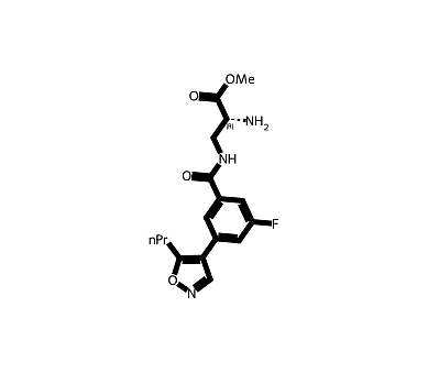 CCCc1oncc1-c1cc(F)cc(C(=O)NC[C@@H](N)C(=O)OC)c1